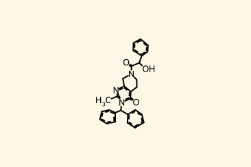 Cc1nc2c(c(=O)n1C(c1ccccc1)c1ccccc1)CCN(C(=O)C(O)c1ccccc1)C2